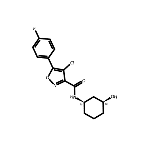 O=C(N[C@@H]1CCC[C@H](O)C1)c1noc(-c2ccc(F)cc2)c1Cl